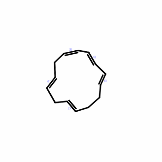 [C]1=C/C\C=C/C=C/C=C/CC/C=C/C/1